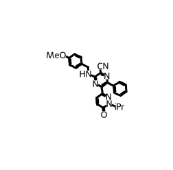 COc1ccc(CNc2nc(-c3ccc(=O)n(C(C)C)n3)c(-c3ccccc3)nc2C#N)cc1